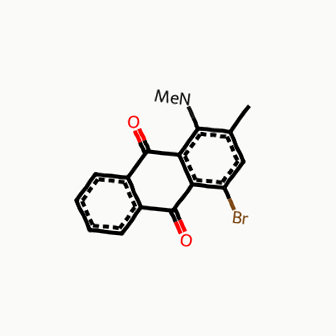 CNc1c(C)cc(Br)c2c1C(=O)c1ccccc1C2=O